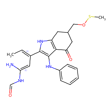 C/C=C(\C=C(/N)NC=O)c1[nH]c2c(c1Nc1ccccc1)C(=O)CC(COSC)C2